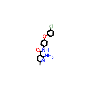 Cc1ccc(C(=O)Nc2ccc(Oc3cccc(Cl)c3)cc2)c(N)n1